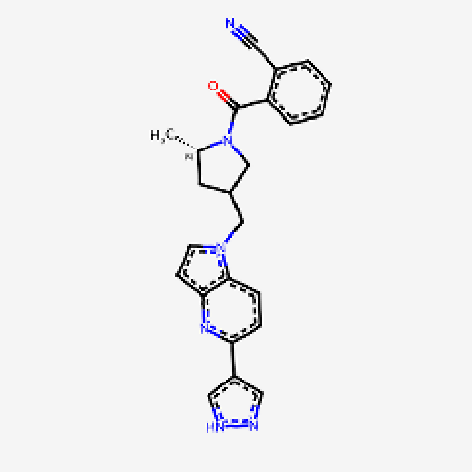 C[C@H]1CC(Cn2ccc3nc(-c4cn[nH]c4)ccc32)CN1C(=O)c1ccccc1C#N